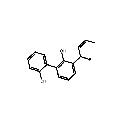 C/C=C\C(CC)c1cccc(-c2ccccc2O)c1O